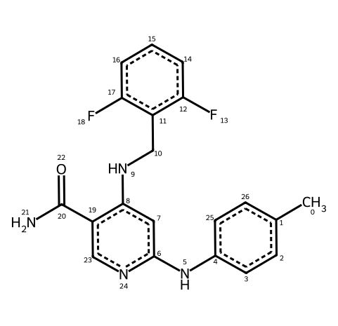 Cc1ccc(Nc2cc(NCc3c(F)cccc3F)c(C(N)=O)cn2)cc1